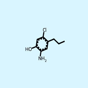 CCCc1cc(N)c(O)cc1Cl